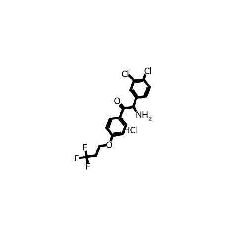 Cl.NC(C(=O)c1ccc(OCCC(F)(F)F)cc1)c1ccc(Cl)c(Cl)c1